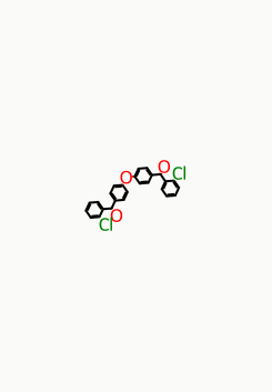 O=C(c1ccc(Oc2ccc(C(=O)c3ccccc3Cl)cc2)cc1)c1ccccc1Cl